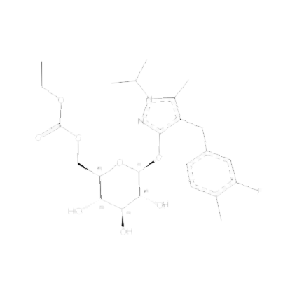 CCOC(=O)OC[C@H]1O[C@@H](Oc2nn(C(C)C)c(C)c2Cc2ccc(C)c(F)c2)[C@H](O)[C@@H](O)[C@@H]1O